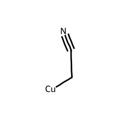 N#C[CH2][Cu]